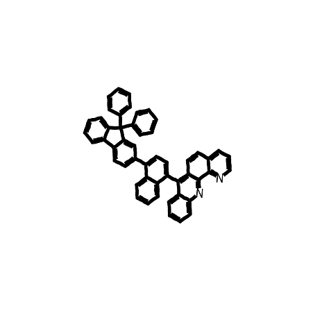 c1ccc(C2(c3ccccc3)c3ccccc3-c3ccc(-c4ccc(-c5c6ccccc6nc6c5ccc5cccnc56)c5ccccc45)cc32)cc1